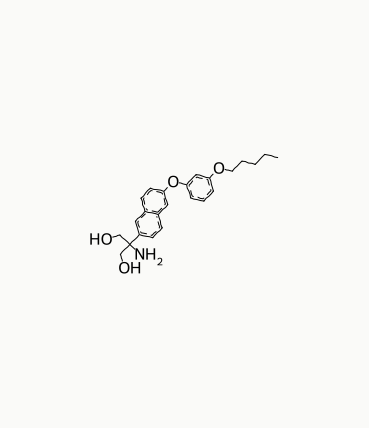 CCCCCOc1cccc(Oc2ccc3cc(C(N)(CO)CO)ccc3c2)c1